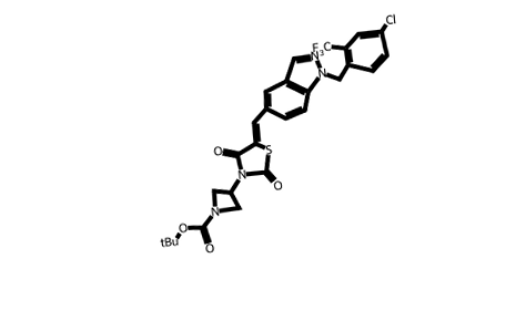 CC(C)(C)OC(=O)N1CC(N2C(=O)S/C(=C\c3ccc4c(cnn4Cc4ccc(Cl)cc4C(F)(F)F)c3)C2=O)C1